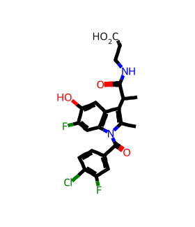 Cc1c(C(C)C(=O)NCCC(=O)O)c2cc(O)c(F)cc2n1C(=O)c1ccc(Cl)c(F)c1